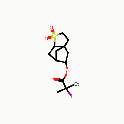 CCC(C)(I)C(=O)OC1CC23CCS(=O)(=O)C2CC1C3